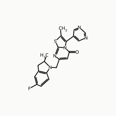 Cc1sc2nc(CN3c4ccc(F)cc4CC3C)cc(=O)n2c1-c1cncnc1